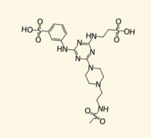 CS(=O)(=O)NCCN1CCN(c2nc(NCCS(=O)(=O)O)nc(Nc3cccc(S(=O)(=O)O)c3)n2)CC1